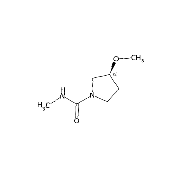 CNC(=O)N1CC[C@H](OC)C1